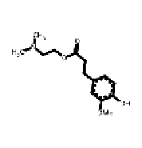 COc1cc(CCC(=O)OCCN(C)C)ccc1O